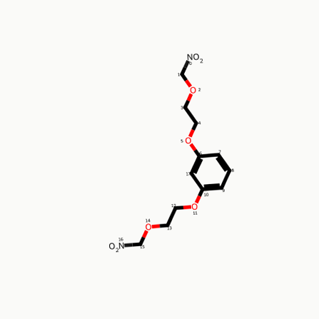 O=[N+]([O-])COCCOc1cccc(OCCOC[N+](=O)[O-])c1